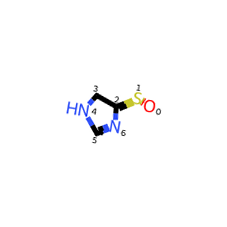 O=S=C1CN[C]=N1